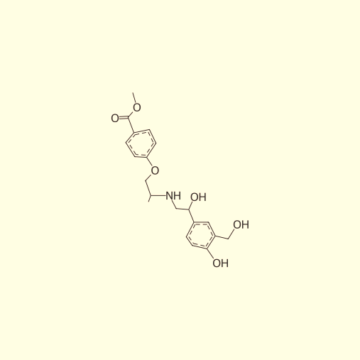 COC(=O)c1ccc(OCC(C)NCC(O)c2ccc(O)c(CO)c2)cc1